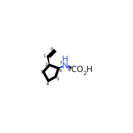 C=C[C@@H]1CCC[C@@H]1NC(=O)O